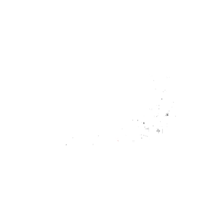 CCCCCCCCCCCCOC1CC[C@@]2(C)C(=CC[C@H]3[C@@H]4CC[C@H]([C@H](C)CCCC(C)C)[C@@]4(C)CC[C@@H]32)C1